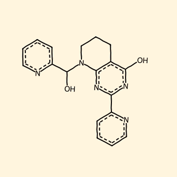 Oc1nc(-c2ccccn2)nc2c1CCCN2C(O)c1ccccn1